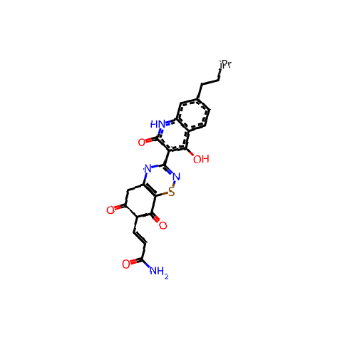 CC(C)CCc1ccc2c(O)c(C3=NSC4=C(CC(=O)C(/C=C/C(N)=O)C4=O)[N]3)c(=O)[nH]c2c1